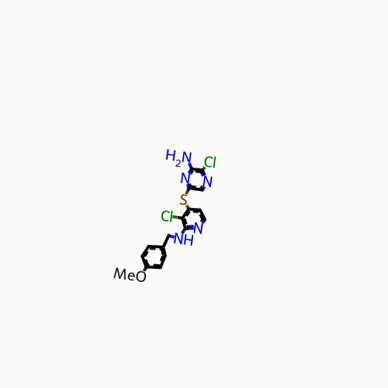 COc1ccc(CNc2nccc(Sc3cnc(Cl)c(N)n3)c2Cl)cc1